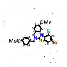 COc1ccc(CN(Cc2ccc(OC)cc2)c2nc3c(F)cc(Br)cc3s2)cc1